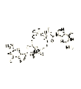 Nc1nc2c(ncn2C2OC3COP(=O)(O)[C@@H]4C(COP(=O)(O)O[C@H]3[C@H]2F)OC(n2cnc3c(=O)[nH]c(N)nc32)[C@@H]4F)c(=O)[nH]1